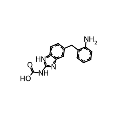 Nc1ccccc1Cc1ccc2[nH]c(NC(=O)O)nc2c1